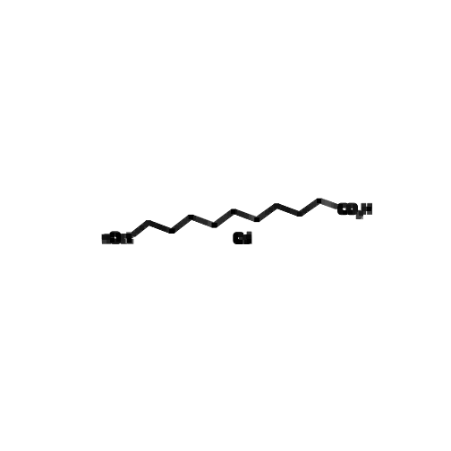 CCCCCCCCCCCCCCCCCC(=O)O.[Gd]